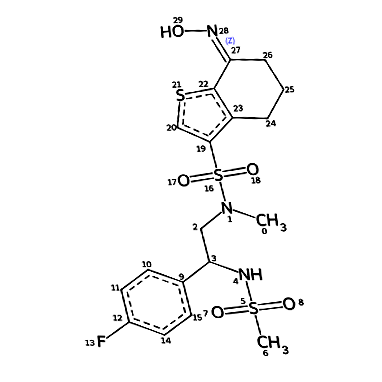 CN(CC(NS(C)(=O)=O)c1ccc(F)cc1)S(=O)(=O)c1csc2c1CCC/C2=N/O